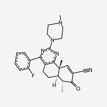 C[C@H]1C(=O)C(C#N)=C[C@@]2(C)c3nc(N4CCN(C)CC4)nc(-c4ccccc4F)c3CC[C@H]12